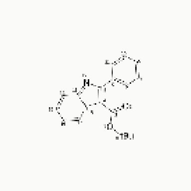 CC(C)(C)OC(=O)c1c(-c2ccccc2)nc2ccccn12